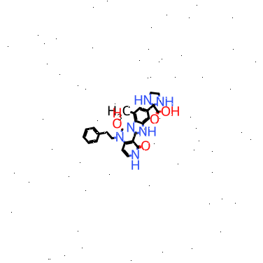 Cc1cc(C2(C(=O)O)NCCN2)cc2[nH]c(-c3c(N(CO)CCc4ccccc4)cc[nH]c3=O)nc12